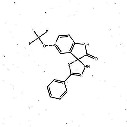 O=C1Nc2ccc(OC(F)(F)F)cc2C12NN=C(c1ccccc1)S2